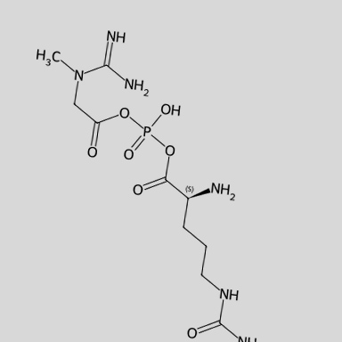 CN(CC(=O)OP(=O)(O)OC(=O)[C@@H](N)CCCNC(N)=O)C(=N)N